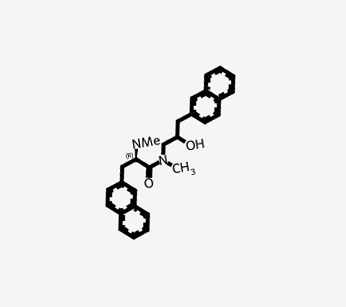 CN[C@H](Cc1ccc2ccccc2c1)C(=O)N(C)CC(O)Cc1ccc2ccccc2c1